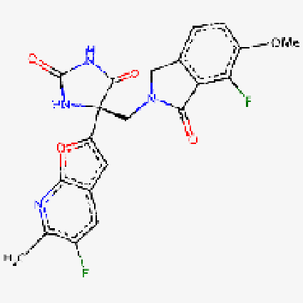 COc1ccc2c(c1F)C(=O)N(C[C@@]1(c3cc4cc(F)c(C)nc4o3)NC(=O)NC1=O)C2